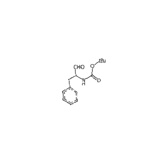 CC(C)(C)OC(=O)N[C](C=O)Cc1ccccc1